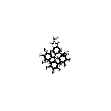 C=Cc1ccccc1[B-](c1c(F)c(F)c(F)c(F)c1F)(c1c(F)c(F)c(F)c(F)c1F)c1c(F)c(F)c(F)c(F)c1F.C[NH+](C)C